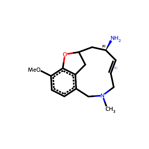 COc1ccc2c3c1OC(C3)C[C@@H](N)/C=C/CN(C)C2